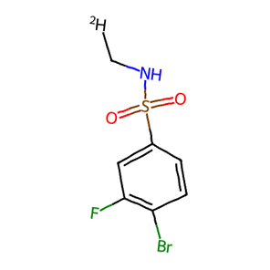 [2H]CNS(=O)(=O)c1ccc(Br)c(F)c1